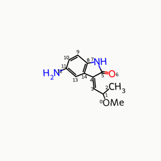 COC(C)C=C1C(=O)Nc2ccc(N)cc21